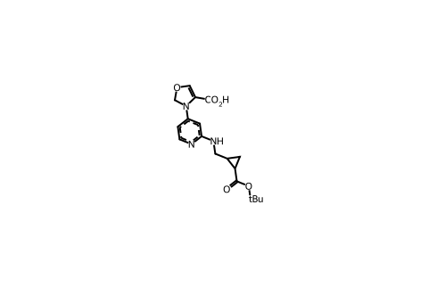 CC(C)(C)OC(=O)C1CC1CNc1cc(N2COC=C2C(=O)O)ccn1